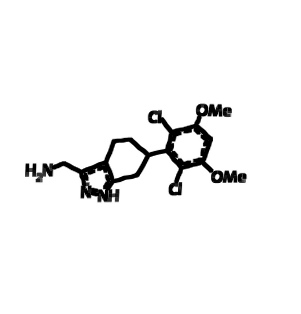 COc1cc(OC)c(Cl)c(C2CCc3c(CN)n[nH]c3C2)c1Cl